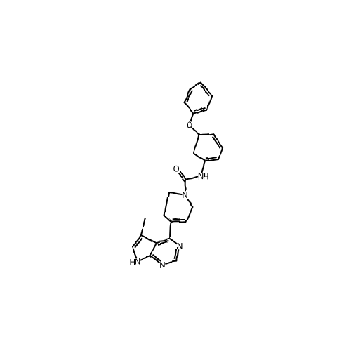 Cc1c[nH]c2ncnc(C3=CCN(C(=O)NC4=CC=CC(Oc5ccccc5)C4)CC3)c12